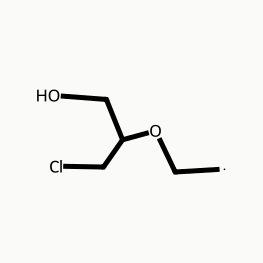 [CH2]COC(CO)CCl